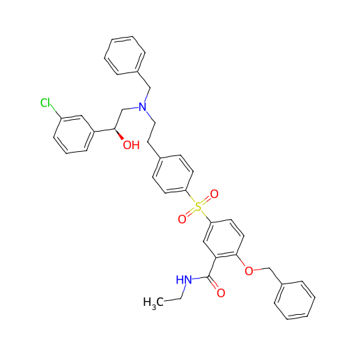 CCNC(=O)c1cc(S(=O)(=O)c2ccc(CCN(Cc3ccccc3)C[C@@H](O)c3cccc(Cl)c3)cc2)ccc1OCc1ccccc1